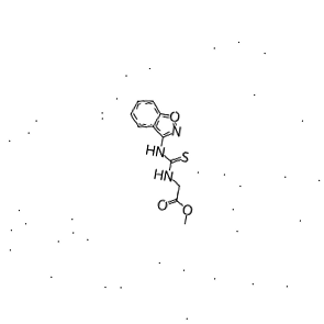 COC(=O)CNC(=S)Nc1noc2ccccc12